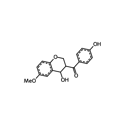 COc1ccc2c(c1)C(O)C(C(=O)c1ccc(O)cc1)CO2